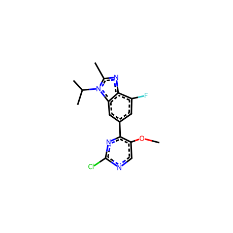 COc1cnc(Cl)nc1-c1cc(F)c2nc(C)n(C(C)C)c2c1